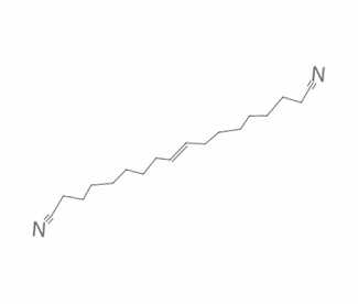 N#CCCCCCCCC=CCCCCCCCC#N